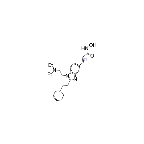 CCN(CC)CCn1c(CCC2=CC=CCC2)nc2cc(/C=C/C(=O)NO)ccc21